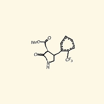 COC(=O)[C@@H]1C(=O)NCC1c1ccccc1C(F)(F)F